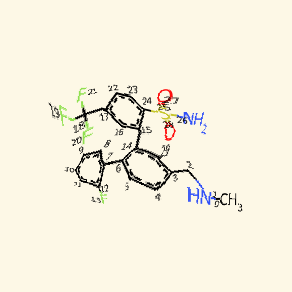 CNCc1ccc(-c2ccccc2F)c(-c2cc(C(F)(F)F)ccc2S(N)(=O)=O)c1